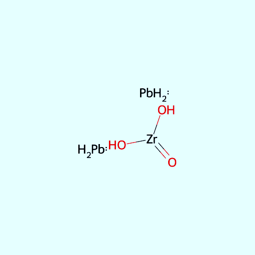 [O]=[Zr]([OH])[OH].[PbH2].[PbH2]